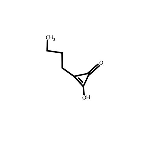 CCCCc1c(O)c1=O